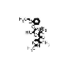 CCOc1ccccc1OC(NC(C)=CC(=O)c1cnc(C)nc1C)C(C)O